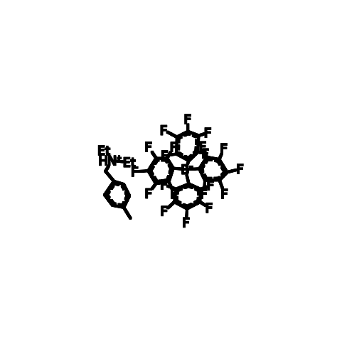 CC[NH+](CC)Cc1ccc(C)cc1.Fc1c(F)c(F)c([B-](c2c(F)c(F)c(F)c(F)c2F)(c2c(F)c(F)c(F)c(F)c2F)c2c(F)c(F)c(F)c(F)c2F)c(F)c1F